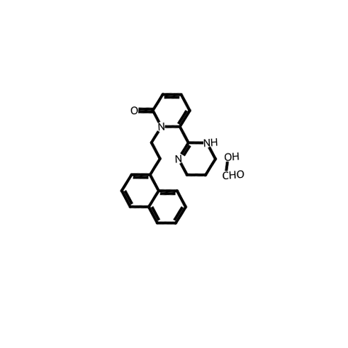 O=CO.O=c1cccc(C2=NCCCN2)n1CCc1cccc2ccccc12